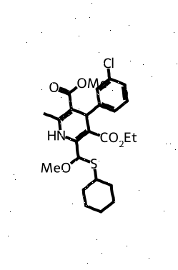 CCOC(=O)C1=C(C(OC)SC2CCCCC2)NC(C)=C(C(=O)OC)C1c1cccc(Cl)c1